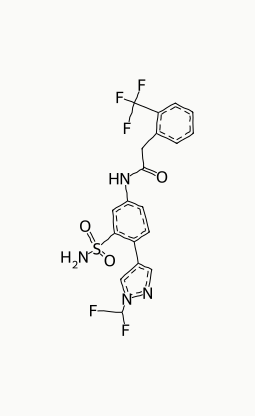 NS(=O)(=O)c1cc(NC(=O)Cc2ccccc2C(F)(F)F)ccc1-c1cnn(C(F)F)c1